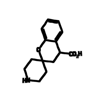 O=C(O)C1CC2(CCNCC2)Oc2ccccc21